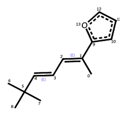 C/C(=C\C=C\C(C)(C)C)c1ccco1